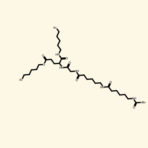 CCCCC(=O)NCCCCCC(=O)NCCCCCC(=O)NCC(=O)NC(CCC(=O)OCCCCCC(C)=O)C(=O)NCCCCCC(C)=O